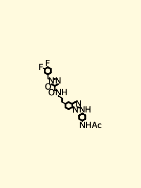 CC(=O)Nc1ccc(Nc2ncc3cc(C=CCNC(=O)c4cncn(Cc5ccc(F)c(F)c5)c4=O)ccc3n2)cc1